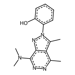 Cc1nnc(N(C)C)c2nn(-c3ccccc3O)c(C)c12